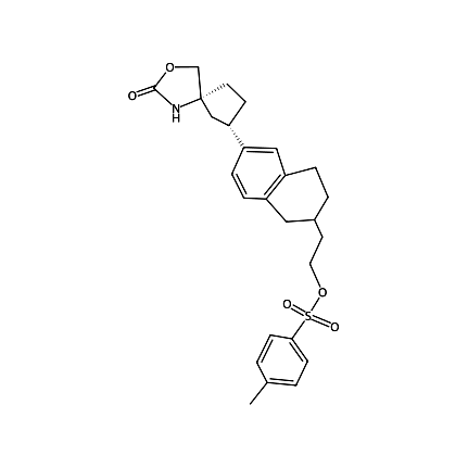 Cc1ccc(S(=O)(=O)OCCC2CCc3cc([C@H]4CC[C@]5(COC(=O)N5)C4)ccc3C2)cc1